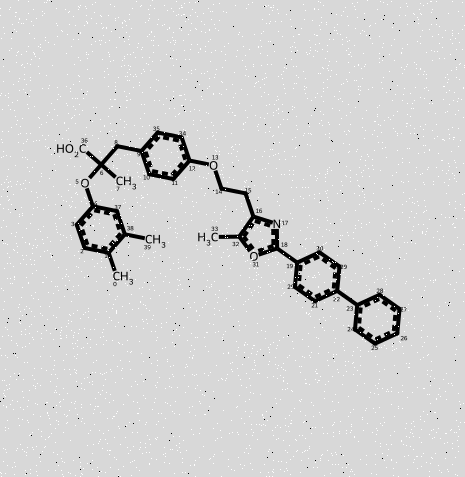 Cc1ccc(OC(C)(Cc2ccc(OCCc3nc(-c4ccc(-c5ccccc5)cc4)oc3C)cc2)C(=O)O)cc1C